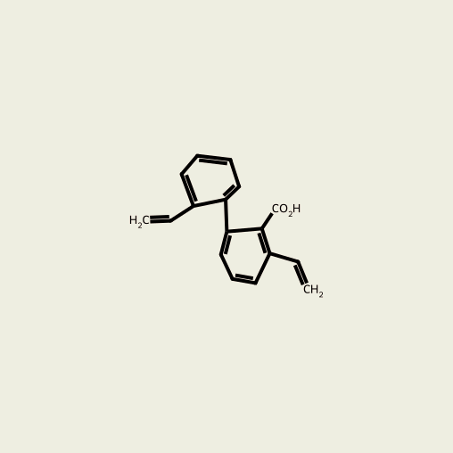 C=Cc1ccccc1-c1cccc(C=C)c1C(=O)O